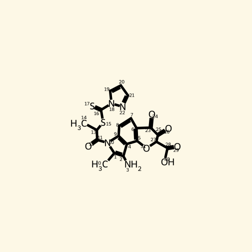 Cc1c(N)c2c3c(ccc2n1C(=O)C(C)SC(=S)n1cccn1)C(=O)C(=O)C(C(=O)O)O3